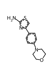 Nc1nc(-c2ccc(N3CCOCC3)cc2)cs1